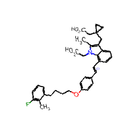 Cc1c(F)cccc1CCCCOc1ccc(/C=C/c2cccc3c(CC4(CC(=O)O)CC4)c(C)n(CC(=O)O)c23)cc1